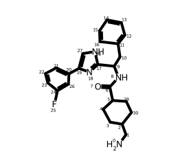 NCC1CCC(C(=O)NC(Cc2ccccc2)c2nc(-c3cccc(F)c3)c[nH]2)CC1